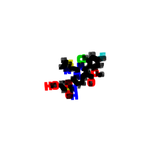 COC(=O)C1=C2C[C@H](NS(=O)(=O)CCO)CN2C(c2nccs2)=N[C@H]1c1ccc(F)cc1Cl